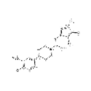 COc1cc(N2CCN(C(C=O)Cn3nc(C(F)(F)F)c(Cl)c3C)CC2)ccc1Cl